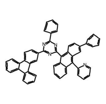 c1ccc(-c2ccc3c(-c4nc(-c5ccccc5)nc(-c5ccc6c7ccccc7c7ccccc7c6c5)n4)c4ccccc4c(-c4ccccn4)c3c2)cc1